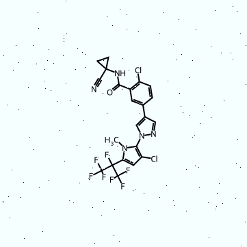 Cn1c(C(F)(C(F)(F)F)C(F)(F)F)cc(Cl)c1-n1cc(-c2ccc(Cl)c(C(=O)NC3(C#N)CC3)c2)cn1